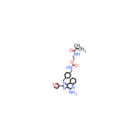 C=C(C)C(=O)NCCOC(=O)NCc1ccc(Cn2c(-c3ccoc3)nc3c(N)nc4ccccc4c32)cc1